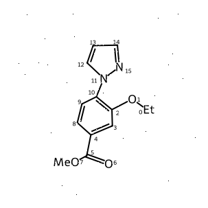 CCOc1cc(C(=O)OC)ccc1-n1cccn1